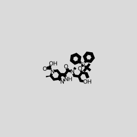 C=CC(O[Si](c1ccccc1)(c1ccccc1)C(C)(C)C)C(CO)CN(C)C(=O)c1[nH]nc2c1CN(C(=O)O)[C@H](C)C2